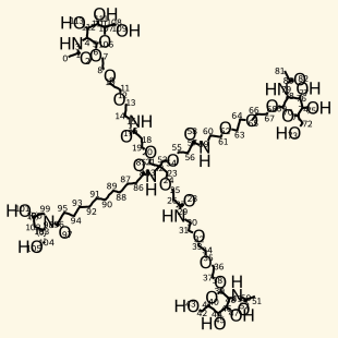 CC(=O)NC1C(OCCOCCOCCNC(=O)CCOCC(COCCC(=O)NCCOCCOCCOC2OC(CO)C(O)C(O)C2NC(C)=O)(COCCC(=O)NCCOCCOCCOC2OC(CO)C(O)C(O)C2NC(C)=O)NC(=O)CCCCCCCCCCC(=O)N2C[C@H](O)C[C@H]2CO)OC(CO)C(O)C1O